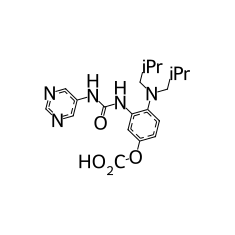 CC(C)CN(CC(C)C)c1ccc(OC(=O)O)cc1NC(=O)Nc1cncnc1